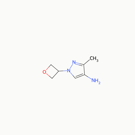 Cc1nn(C2COC2)cc1N